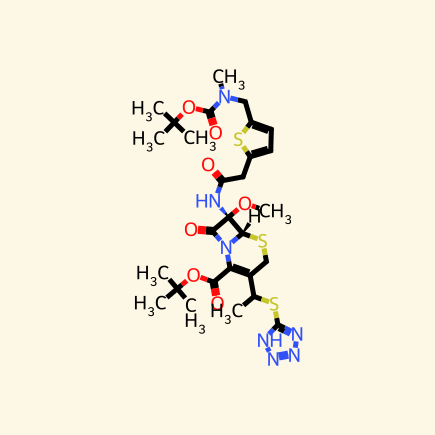 CO[C@@]1(NC(=O)Cc2ccc(CN(C)C(=O)OC(C)(C)C)s2)C(=O)N2C(C(=O)OC(C)(C)C)=C(C(C)Sc3nnn[nH]3)CS[C@H]21